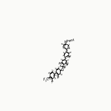 CCCCCc1cnc(-c2ccc(-c3cc(F)c(C(F)(F)Oc4ccc(-c5ccc(C(F)(F)F)c(F)c5)c(F)c4)c(F)c3)c(F)c2)nc1